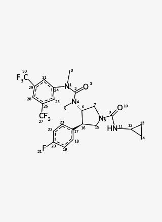 CN(C(=O)N(C)[C@@H]1CN(C(=O)NC2CC2)C[C@H]1c1ccc(F)cc1)c1cc(C(F)(F)F)cc(C(F)(F)F)c1